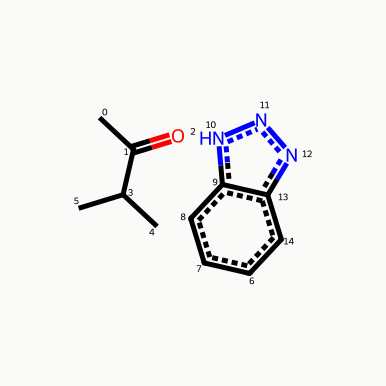 CC(=O)C(C)C.c1ccc2[nH]nnc2c1